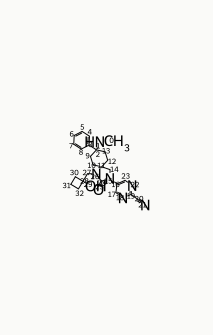 CN[C@]1(c2ccccc2)CC[C@@]2(CC1)CN(c1cnc(C#N)nc1)C(=O)N2CC1(O)CCC1